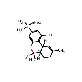 CCCCCC[Si](C)(C)c1cc(O)c2c(c1)OC(C)(C)[C@@H]1CCC(C)=C[C@@H]21